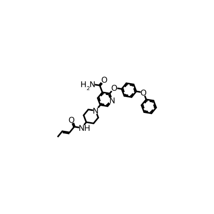 CC=CC(=O)NC1CCN(c2cnc(Oc3ccc(Oc4ccccc4)cc3)c(C(N)=O)c2)CC1